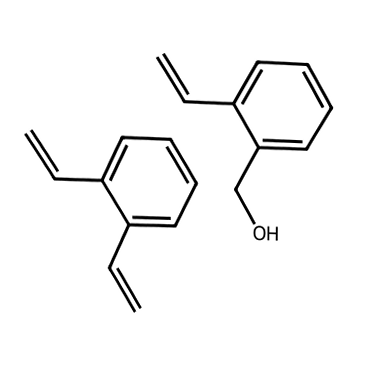 C=Cc1ccccc1C=C.C=Cc1ccccc1CO